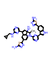 CC(Nc1cncc(-c2c[nH]c3ccc(-c4nnc(N)s4)cc23)n1)C1(N)C=C(c2cncc(NCC3CC3)n2)c2cc(-c3nnc(N)s3)ccc21